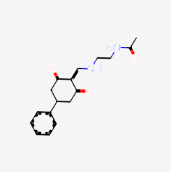 CC(=O)NCCNC=C1C(=O)CC(c2ccccc2)CC1=O